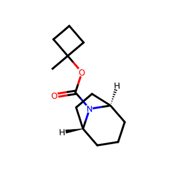 CC1(OC(=O)N2[C@@H]3CCC[C@@H]2CC3)CCC1